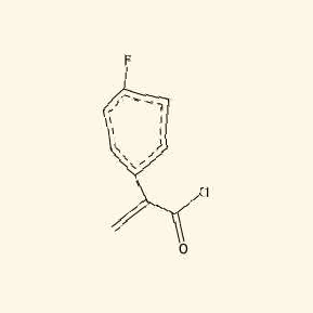 C=C(C(=O)Cl)c1ccc(F)cc1